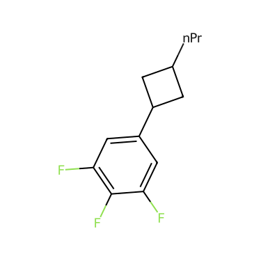 CCCC1CC(c2cc(F)c(F)c(F)c2)C1